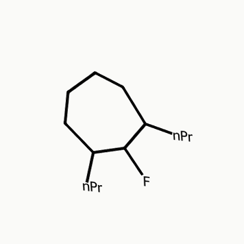 CCCC1CCCCC(CCC)C1F